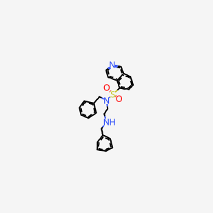 O=S(=O)(c1cccc2cnccc12)N(CCNCc1ccccc1)Cc1ccccc1